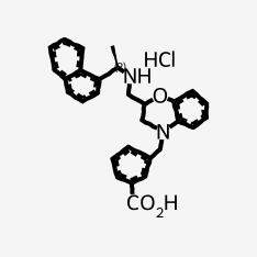 C[C@@H](NCC1CN(Cc2cccc(C(=O)O)c2)c2ccccc2O1)c1cccc2ccccc12.Cl